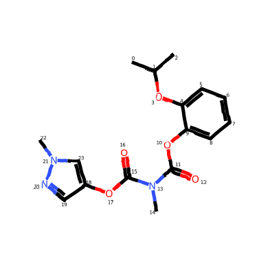 CC(C)Oc1ccccc1OC(=O)N(C)C(=O)Oc1cnn(C)c1